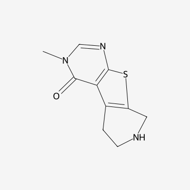 Cn1cnc2sc3c(c2c1=O)CCNC3